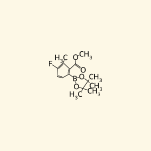 COC(=O)c1c(B2OC(C)(C)C(C)(C)O2)ccc(F)c1C